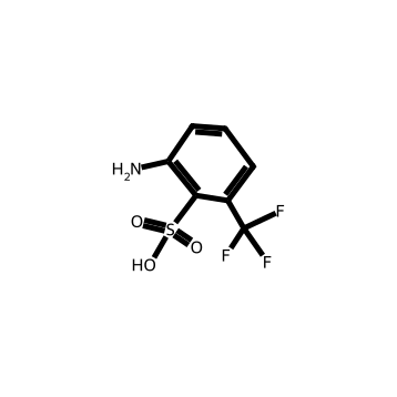 Nc1cccc(C(F)(F)F)c1S(=O)(=O)O